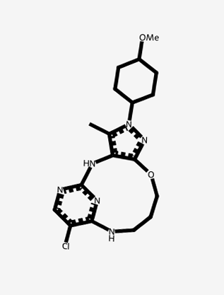 COC1CCC(n2nc3c(c2C)Nc2ncc(Cl)c(n2)NCCCO3)CC1